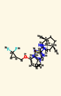 Cc1cc(N2C[C@H]3CC[C@@H](C2)[C@@H]3Nc2nc3c(OCC4CC4(F)F)cccn3n2)sn1